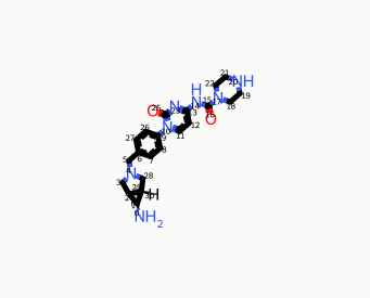 N[C@H]1C2CN(Cc3ccc(-n4ccc(NC(=O)N5CCNCC5)nc4=O)cc3)C[C@@H]21